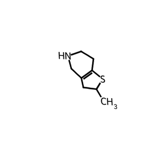 CC1CC2=C(CCNC2)S1